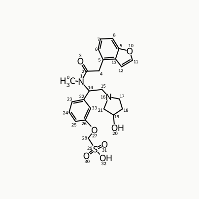 CN(C(=O)Cc1cccc2occc12)C(CN1CCC(O)C1)c1cccc(OCS(=O)(=O)O)c1